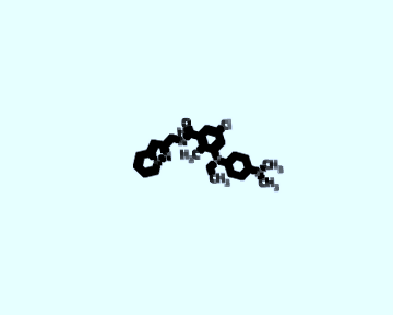 CCN(c1cc(Cl)cc(C(=O)NCc2cc3ccccn3n2)c1C)C1CCC(N(C)C)CC1